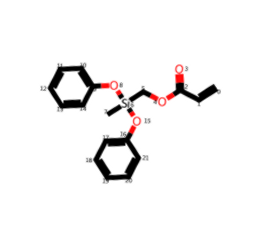 C=CC(=O)OC[Si](C)(Oc1ccccc1)Oc1ccccc1